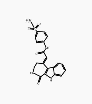 NS(=O)(=O)c1ccc(NC(=O)C=C2CCNC(=O)c3[nH]c4ccccc4c32)cc1